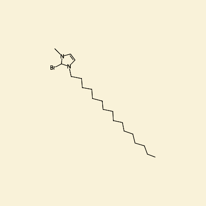 CCCCCCCCCCCCCCCCN1C=CN(C)C1Br